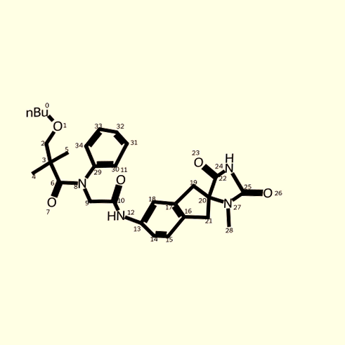 CCCCOCC(C)(C)C(=O)N(CC(=O)Nc1ccc2c(c1)CC1(C2)C(=O)NC(=O)N1C)c1ccccc1